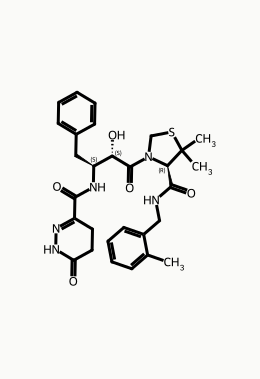 Cc1ccccc1CNC(=O)[C@H]1N(C(=O)[C@@H](O)[C@H](Cc2ccccc2)NC(=O)C2=NNC(=O)CC2)CSC1(C)C